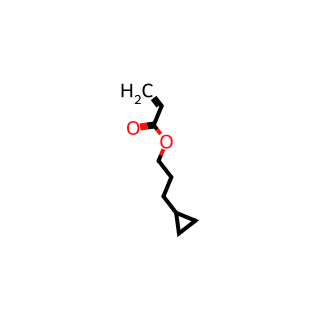 C=CC(=O)OCCCC1CC1